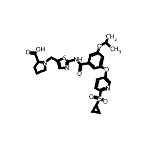 CC(C)Oc1cc(Oc2ccc(S(=O)(=O)C3CC3)nc2)cc(C(=O)Nc2ncc(CN3CCCC3C(=O)O)s2)c1